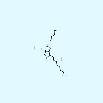 CCCCCC(O)C=CC1C(O)CC2(OC)N=C(SCCCC(=O)O)CC12